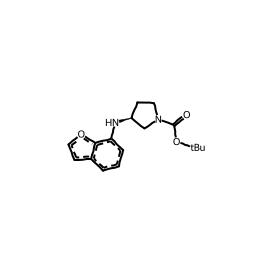 CC(C)(C)OC(=O)N1CC[C@H](Nc2cccc3ccoc23)C1